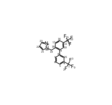 FC(F)(F)c1cccc(-c2cc(C(F)(F)F)ccc2Cn2cccn2)c1